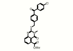 COC(=O)c1cccc2nc(SCc3ccc(C(=O)c4ccc(Cl)cc4)cc3)n(C)c(=O)c12